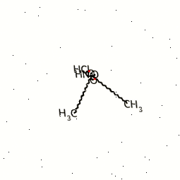 CCCCCCCCC=CCCCCCCCC(=O)C1(C(=O)CCCCCCCC=CCCCCCCCC)CNCCO1.Cl